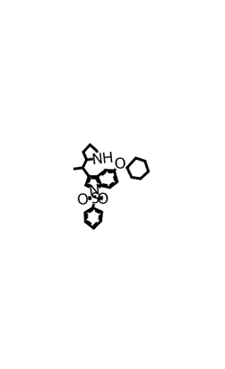 CC(c1cn(S(=O)(=O)c2ccccc2)c2ccc(OC3CCCCC3)cc12)C1CCCN1